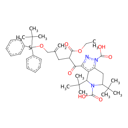 C=C(CO[Si](c1ccccc1)(c1ccccc1)C(C)(C)C)CC(C(=O)OCC)C(=O)c1nn(C(=O)O)c2c1C(C(C)(C)C)N(C(=O)O)C(C(C)(C)C)C2